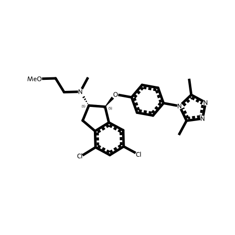 COCCN(C)[C@H]1Cc2c(Cl)cc(Cl)cc2[C@@H]1Oc1ccc(-n2c(C)nnc2C)cc1